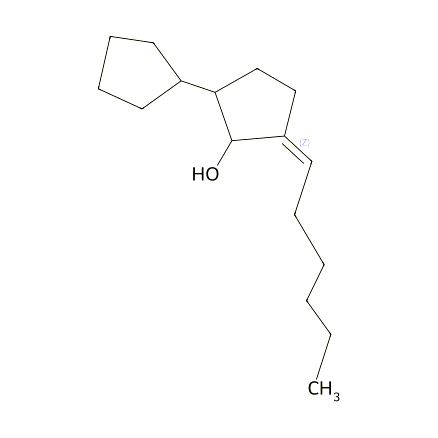 CCCCC/C=C1/CCC(C2CCCC2)C1O